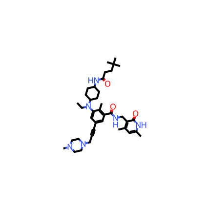 CCN(c1cc(C#CCN2CCN(C)CC2)cc(C(=O)NCc2c(C)cc(C)[nH]c2=O)c1C)C1CCC(NC(=O)CCC(C)(C)C)CC1